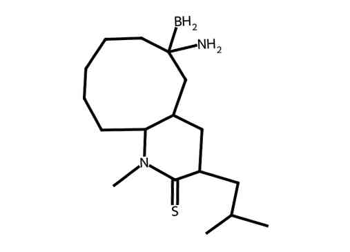 BC1(N)CCCCCC2C(CC(CC(C)C)C(=S)N2C)C1